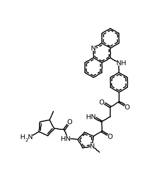 CC1C=C(N)C=C1C(=O)Nc1cc(C(=O)C(=N)CC(=O)C(=O)c2ccc(Nc3c4ccccc4nc4ccccc34)cc2)n(C)c1